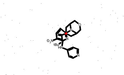 CC(C)(C)OC(=O)N1CC2COCC(C1)N2c1ccc([N+](=O)[O-])c(Nc2ccncc2)n1